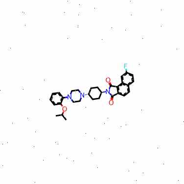 CC(C)Oc1ccccc1N1CCN([C@H]2CC[C@H](N3C(=O)c4ccc5ccc(F)cc5c4C3=O)CC2)CC1